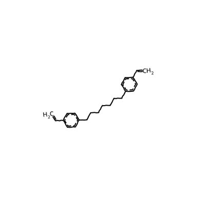 C=Cc1ccc(CCCCCCCc2ccc(C=C)cc2)cc1